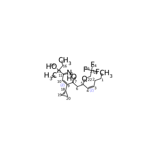 CCC/C=C\C(CC(=O)/C(=C\C(=N)C(C)(O)CC)C1=CC1)OCC(F)(F)F